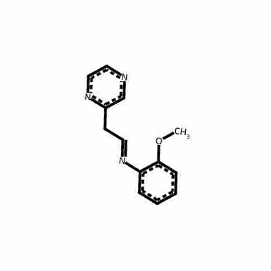 COc1ccccc1N=CCc1cnccn1